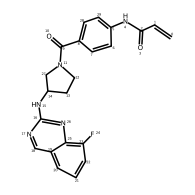 C=CC(=O)Nc1ccc(C(=O)N2CCC(Nc3ncc4cccc(F)c4n3)C2)cc1